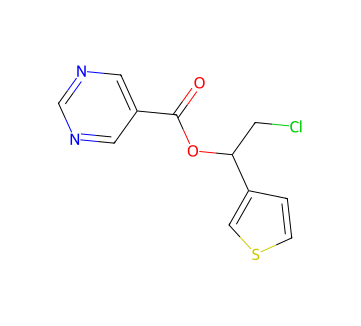 O=C(OC(CCl)c1ccsc1)c1cncnc1